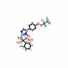 C[C@@H](n1ccn(-c2ccc(OCC(F)(F)C(F)F)cc2)c1=O)[C@](O)(CO)c1ccccc1F